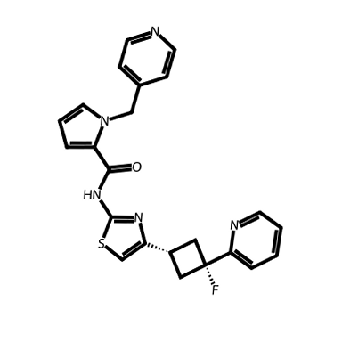 O=C(Nc1nc([C@H]2C[C@](F)(c3ccccn3)C2)cs1)c1cccn1Cc1ccncc1